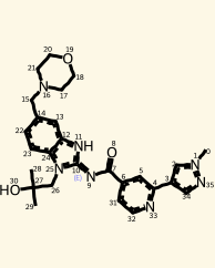 Cn1cc(-c2cc(C(=O)/N=c3\[nH]c4cc(CN5CCOCC5)ccc4n3CC(C)(C)O)ccn2)cn1